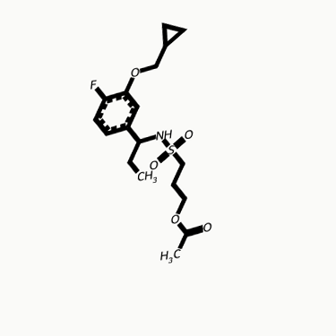 CCC(NS(=O)(=O)CCCOC(C)=O)c1ccc(F)c(OCC2CC2)c1